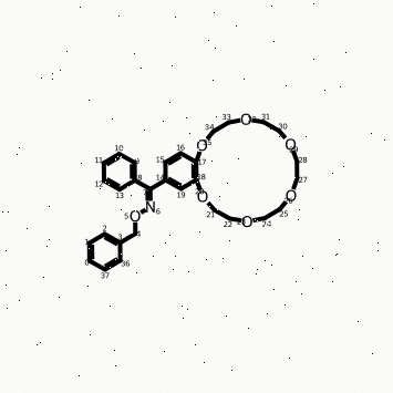 c1ccc(CON=C(c2ccccc2)c2ccc3c(c2)OCCOCCOCCOCCOCCO3)cc1